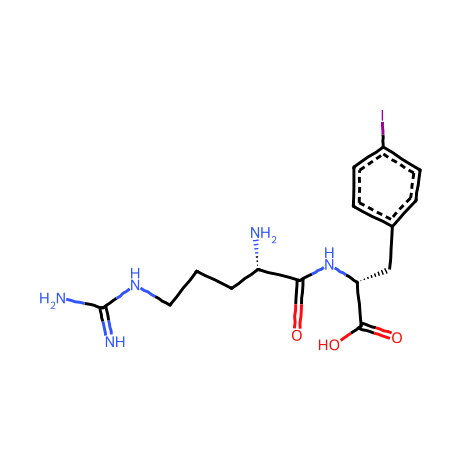 N=C(N)NCCC[C@H](N)C(=O)N[C@H](Cc1ccc(I)cc1)C(=O)O